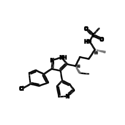 CC[C@@H](CC[C@@H](C)NS(C)(=O)=O)c1[nH]nc(-c2ccc(Cl)cc2)c1-c1ccncc1